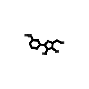 O=C(O)C1=CN(C2OC(CO)C(O)C2O)C=CC1